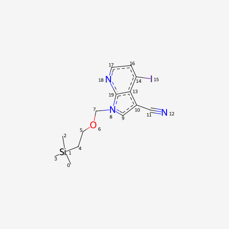 C[Si](C)(C)CCOCn1cc(C#N)c2c(I)ccnc21